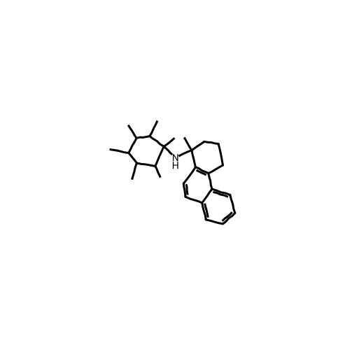 CC1C(C)C(C)C(C)(NC2(C)CCCc3c2ccc2ccccc32)C(C)C1C